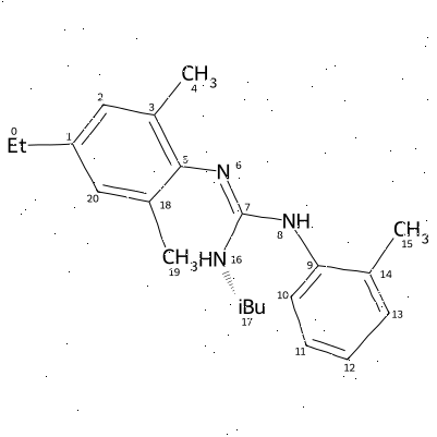 CCc1cc(C)c(/N=C(/Nc2ccccc2C)N[C@@H](C)CC)c(C)c1